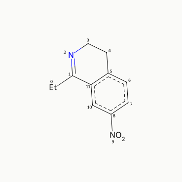 CCC1=NCCc2ccc([N+](=O)[O-])cc21